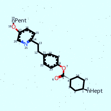 CCCCCCC[C@H]1CC[C@H](C(=O)Oc2ccc(CCc3ccc(OCCCCC)cn3)cc2)CC1